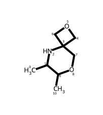 CC1NC2(COC2)COC1C